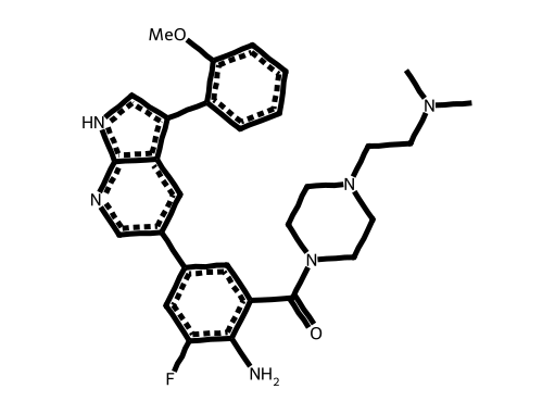 COc1ccccc1-c1c[nH]c2ncc(-c3cc(F)c(N)c(C(=O)N4CCN(CCN(C)C)CC4)c3)cc12